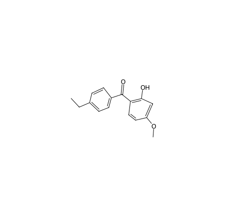 CCc1ccc(C(=O)c2ccc(OC)cc2O)cc1